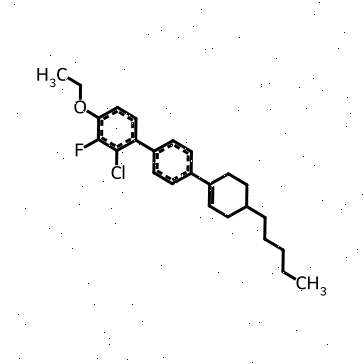 CCCCCC1CC=C(c2ccc(-c3ccc(OCC)c(F)c3Cl)cc2)CC1